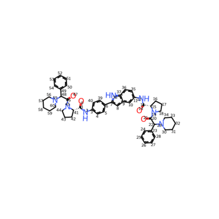 O=C(Nc1ccc(-c2cc3cc(NC(=O)[C@@H]4CCCN4C(=O)C(c4ccccc4)N4CCCCC4)ccc3[nH]2)cc1)[C@@H]1CCCN1C(=O)C(c1ccccc1)N1CCCCC1